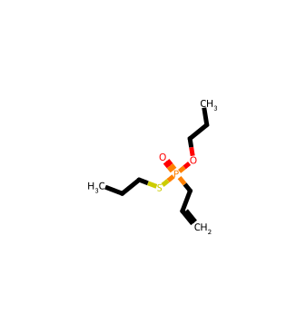 C=CCP(=O)(OCCC)SCCC